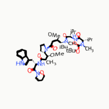 CC[C@H](C)[C@@H]([C@@H](CC(=O)N1CCC[C@H]1[C@H](OC)[C@@H](C)C(=O)N[C@@H](Cc1c[nH]c2ccccc12)C(=O)N1CCCCO1)OC)N(C)C(=O)[C@@H](NC(=O)[C@H](C(C)C)N(C)C(=O)OC(C)(C)C)C(C)C